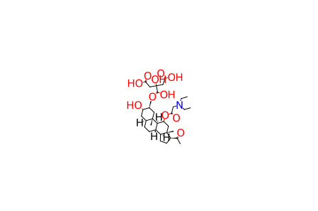 CCN(CC)CC(=O)O[C@H]1C[C@]2(C)[C@@H](C(C)=O)CC[C@H]2[C@@H]2CC[C@H]3C[C@H](O)[C@@H](C)C[C@]3(C)[C@H]21.O=C(O)CC(O)(CC(=O)O)C(=O)O